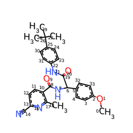 COc1ccc(C(NC(=O)c2ccc(C#N)nc2C)C(=O)Nc2ccc(C(C)(C)C)cc2)cc1